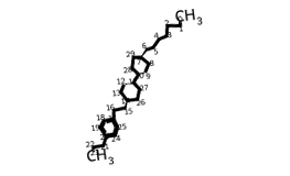 CCCCCCC[C@H]1CC[C@H]([C@H]2CC[C@H](CCc3ccc(CCC)cc3)CC2)CC1